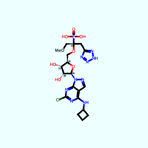 COC[C@@](Cc1nn[nH]n1)(OC[C@H]1O[C@@H](n2ncc3c(NC4CCC4)nc(Cl)nc32)[C@H](O)[C@@H]1O)P(=O)(O)O